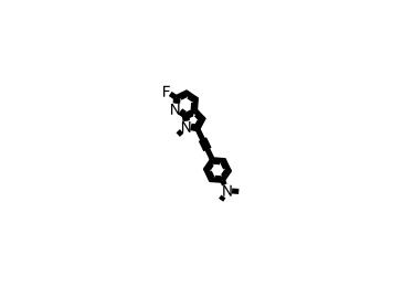 CN(C)c1ccc(C#Cc2cc3ccc(F)nc3n2C)cc1